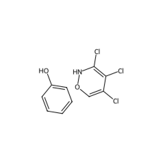 ClC1=CONC(Cl)=C1Cl.Oc1ccccc1